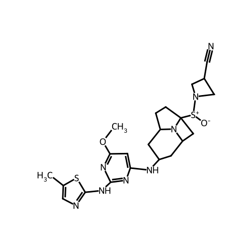 COc1cc(NC2CC3CCC4([S+]([O-])N5CC(C#N)C5)CC(C2)N34)nc(Nc2ncc(C)s2)n1